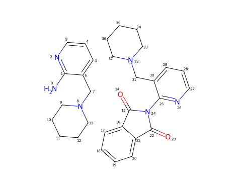 Nc1ncccc1CN1CCCCC1.O=C1c2ccccc2C(=O)N1c1ncccc1CN1CCCCC1